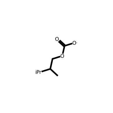 CC(C)C(C)COC([O])=O